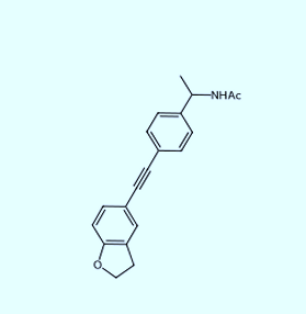 CC(=O)NC(C)c1ccc(C#Cc2ccc3c(c2)CCO3)cc1